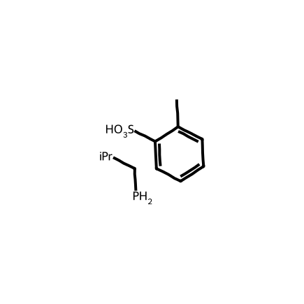 CC(C)CP.Cc1ccccc1S(=O)(=O)O